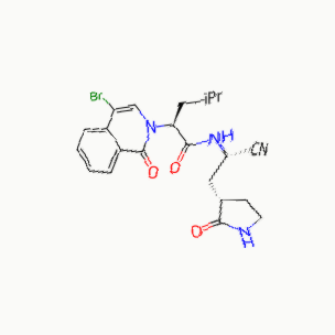 CC(C)C[C@@H](C(=O)N[C@H](C#N)C[C@@H]1CCNC1=O)n1cc(Br)c2ccccc2c1=O